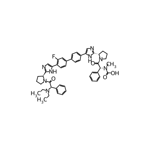 CCN(CC)[C@@H](C(=O)N1CCC[C@H]1c1ncc(-c2ccc(-c3ccc(-c4cnc([C@@H]5CCCN5C(=O)[C@@H](c5ccccc5)N(C)C(=O)O)[nH]4)cc3)cc2F)[nH]1)c1ccccc1